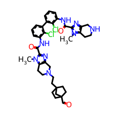 Cn1c(C(=O)Nc2cccc(-c3cccc(NC(=O)c4nc5c(n4C)CCN(CCC46CCC(C=O)(CC4)C6)C5)c3Cl)c2Cl)nc2c1CCNC2